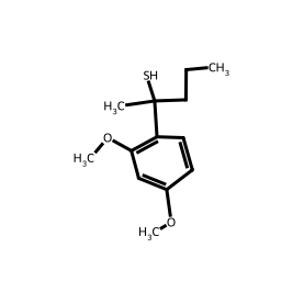 CCCC(C)(S)c1ccc(OC)cc1OC